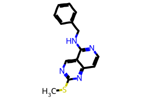 CSc1ncc2c(NCc3ccccc3)nccc2n1